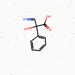 N=CC(O)(C(=O)O)c1ccccc1